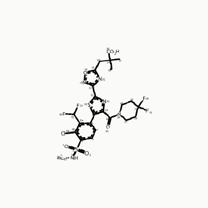 CC[C@@H](C)NS(=O)(=O)c1ccc(-c2sc(-c3noc(CC(C)(C)C(=O)O)n3)nc2C(=O)N2CCC(F)(F)CC2)c(C(F)F)c1Cl